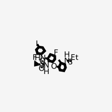 CCSNc1cccc(Oc2cc(F)cc(Nc3ccc(I)cc3F)c2NS(=O)(=O)C2CC2)c1C